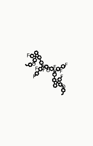 C=Cc1ccc(OC2=CCC(C3(C4C=CC(F)=CC4)C4=C(CCC(C5=CC=C(N(c6ccc7c(c6)OC6CC(N(C8=CCC(c9ccc%10c(c9)C(C9=CCC(F)C=C9)(c9ccc(Oc%11ccc(C=C)cc%11)cc9)C9C=CC=CC%109)CC8)C8=CC(F)=C(C9=CC=C(F)CC9)CC8F)C=CC76)C6CC(F)=C(c7ccc(F)cc7)C=C6F)CC5)=C4)c4ccccc43)C=C2)cc1